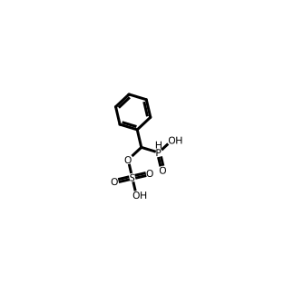 O=[PH](O)C(OS(=O)(=O)O)c1ccccc1